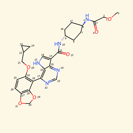 COCC(=O)N[C@H]1CC[C@H](NC(=O)c2c[nH]c3c(-c4c(OCC5CC5)ccc5c4OCO5)ncnc23)CC1